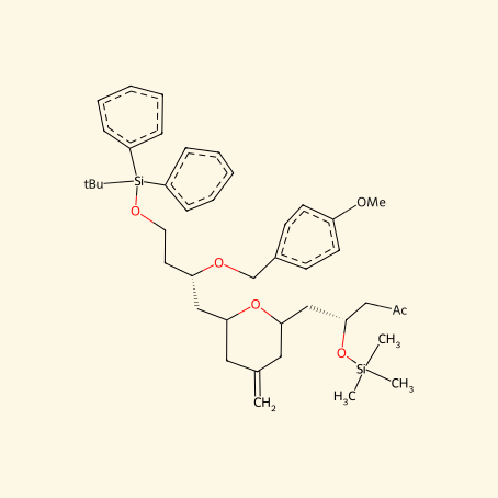 C=C1CC(C[C@H](CCO[Si](c2ccccc2)(c2ccccc2)C(C)(C)C)OCc2ccc(OC)cc2)OC(C[C@H](CC(C)=O)O[Si](C)(C)C)C1